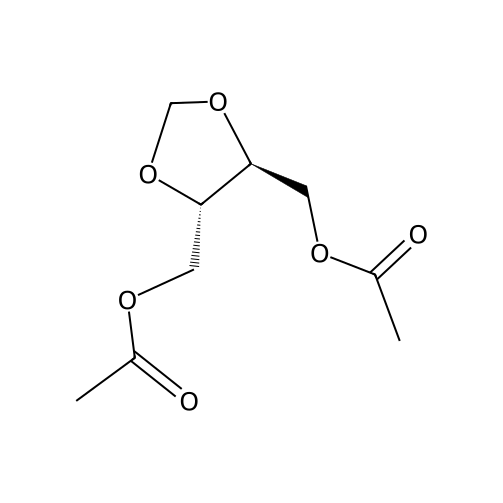 CC(=O)OC[C@@H]1OCO[C@H]1COC(C)=O